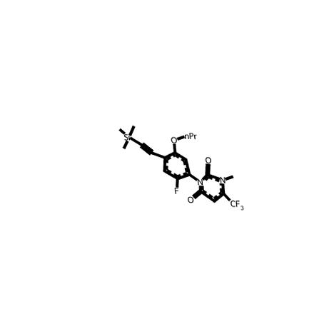 CCCOc1cc(-n2c(=O)cc(C(F)(F)F)n(C)c2=O)c(F)cc1C#C[Si](C)(C)C